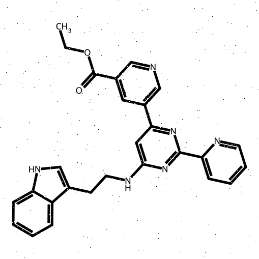 CCOC(=O)c1cncc(-c2cc(NCCc3c[nH]c4ccccc34)nc(-c3ccccn3)n2)c1